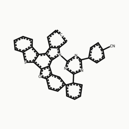 N#Cc1ccc(-c2nc(-c3ccccc3)nc(-n3c4ccccc4c4c5c6ccccc6sc5c5oc6ccccc6c5c43)n2)cc1